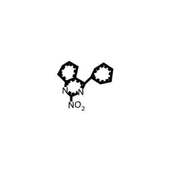 O=[N+]([O-])c1nc(-c2ccccc2)c2ccccc2n1